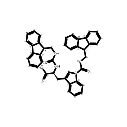 O=C(N[C@@H](Cc1cn(C(=O)OCC2c3ccccc3-c3ccccc32)c2ccccc12)C(=O)O)OCC1c2ccccc2-c2ccccc21